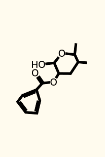 CC1CC(OC(=O)c2ccccc2)C(O)OC1C